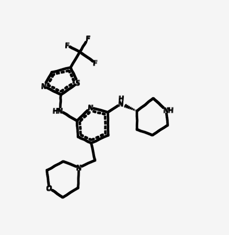 FC(F)(F)c1cnc(Nc2cc(CN3CCOCC3)cc(N[C@H]3CCCNC3)n2)s1